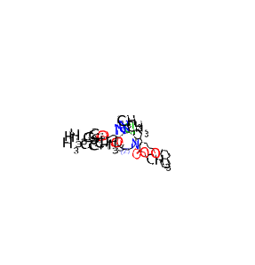 CCOC(=O)c1c(CCCOc2cccc3ccccc23)c2ccc(Cl)c3c2n1C/C=C\COC(CCO[Si](C)(C)C(C)(C)C)c1nn(C)c(C)c1-3